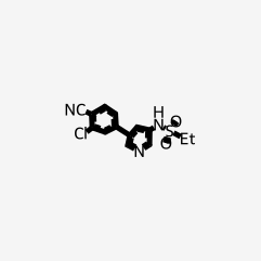 CCS(=O)(=O)Nc1cncc(-c2ccc(C#N)c(Cl)c2)c1